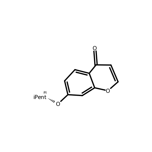 CCC[C@@H](C)Oc1ccc2c(=O)ccoc2c1